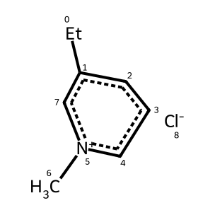 CCc1ccc[n+](C)c1.[Cl-]